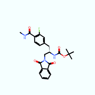 CNC(=O)c1ccc(C[C@@H](CN2C(=O)c3ccccc3C2=O)NC(=O)OC(C)(C)C)cc1F